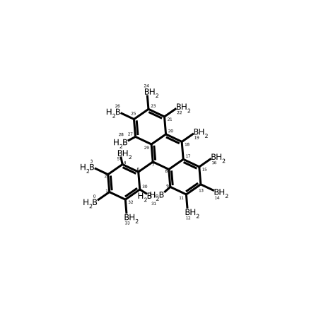 Bc1c(B)c(B)c(-c2c3c(B)c(B)c(B)c(B)c3c(B)c3c(B)c(B)c(B)c(B)c23)c(B)c1B